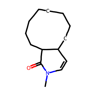 CN1C=CC2CCCCCCCCC2C1=O